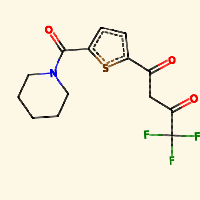 O=C(CC(=O)C(F)(F)F)c1ccc(C(=O)N2CCCCC2)s1